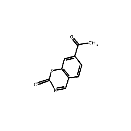 CC(=O)c1ccc2cnc(=O)sc2c1